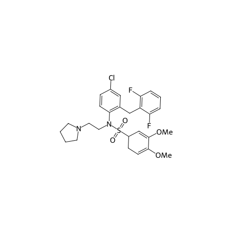 COC1=CCC(S(=O)(=O)N(CCN2CCCC2)c2ccc(Cl)cc2Cc2c(F)cccc2F)C=C1OC